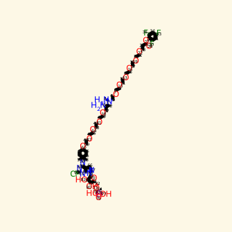 N/C(=C\N(N)CCOCCOCCOCCOCCOCCOCCC(=O)Oc1c(F)cc(F)cc1F)COCCOCCOCCOCCOC1CCC2(CC1)CN(c1nc(Cl)nc3c1cnn3[C@@H]1O[C@H](COCP(=O)(O)O)[C@@H](O)[C@H]1O)C2